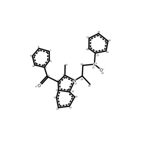 Cc1c(C(=O)c2ccccc2)c2ccccc2n1C(C)C[S+]([O-])c1ccccc1